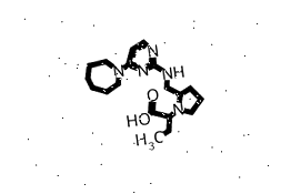 CCC(C(=O)O)N1CCCC1CNc1nccc(N2CCCCCC2)n1